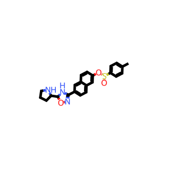 Cc1ccc(S(=O)Oc2ccc3cc(C4=NOC(C5CCCN5)N4)ccc3c2)cc1